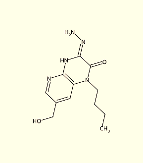 CCCCn1c(=O)/c(=N/N)[nH]c2ncc(CO)cc21